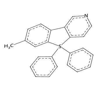 Cc1ccc2c(c1)S(c1ccccc1)(c1ccccc1)c1ccncc1-2